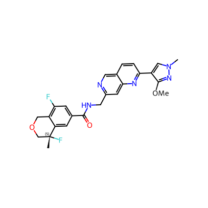 COc1nn(C)cc1-c1ccc2cnc(CNC(=O)c3cc(F)c4c(c3)[C@](C)(F)COC4)cc2n1